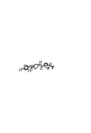 O=C(NC1CCC(C(=O)Nc2cnc(Cl)cc2Cl)CC1)c1ccc(S(=O)(=O)C2CC2)o1